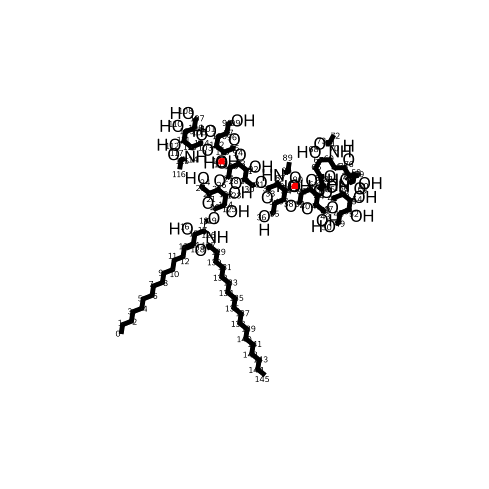 CCCCCCCCCCCCC/C=C/[C@@H](O)[C@H](CO[C@@H]1OC(CO)[C@@H](O[C@@H]2OC(CO[C@@H]3OC(CO)[C@@H](O[C@@H]4OC(CO)[C@H](O[C@@H]5OC(CO)[C@H](O)[C@H](O)C5NC(C)=O)[C@H](O[C@]5(C(=O)O)CC(O)[C@@H](NC(C)=O)C([C@H](O)[C@H](O)CO)O5)C4O)[C@H](O)C3NC(C)=O)[C@H](O)[C@H](O[C@@H]3OC(CO)[C@H](O)[C@H](O[C@@H]4OC(CO)[C@H](O)[C@H](O)C4NC(C)=O)C3O)C2O)[C@H](O)C1O)NC(=O)CCCCCCCCCCCCCCCCC